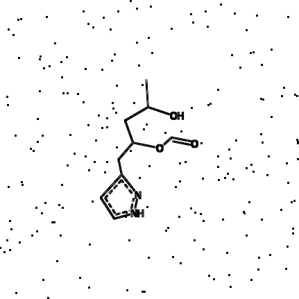 CC(O)CC(Cc1cc[nH]n1)OC=O